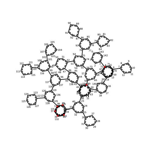 c1ccc(-c2cc(-c3ccccc3)cc(-c3cccc(-c4nc(-c5cc(-c6ccccc6)cc(-c6ccccc6)c5)nc(-c5ccc(-c6ccccc6-c6cc(-c7cc(-c8ccccc8)cc(-c8ccccc8)c7)cc(-c7cc(-c8ccccc8)cc(-c8ccccc8)c7)c6)c(-c6cc(-c7cc(-c8ccccc8)cc(-c8ccccc8)c7)cc(-c7cc(-c8ccccc8)cc(-c8ccccc8)c7)c6)c5)n4)c3)c2)cc1